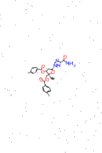 C#CC1(COC(=O)c2ccc(C)cc2)OC(n2cnc(C(N)=O)n2)CC1OC(=O)c1ccc(C)cc1